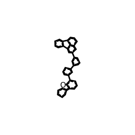 c1cc(-c2cccc(-c3cccc4c3oc3ccccc34)c2)cc(-c2cc3c4c(cccc4c2)-c2ccccc2-3)c1